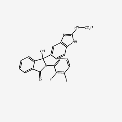 O=C(O)Nc1nc2cc(C3(O)c4ccccc4C(=O)N3c3cccc(I)c3F)ccc2[nH]1